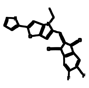 CCn1c(C=C2C(=O)c3cc(F)c(F)cc3C2=O)cc2oc(-c3cccs3)cc21